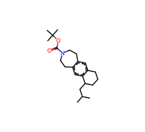 CC(C)CC1CCCc2cc3c(cc21)CCN(C(=O)OC(C)(C)C)CC3